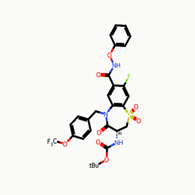 CC(C)(C)OC(=O)N[C@H]1CS(=O)(=O)c2cc(F)c(C(=O)NOc3ccccc3)cc2N(Cc2ccc(OC(F)(F)F)cc2)C1=O